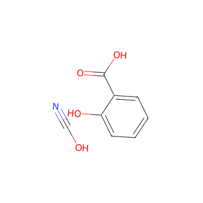 N#CO.O=C(O)c1ccccc1O